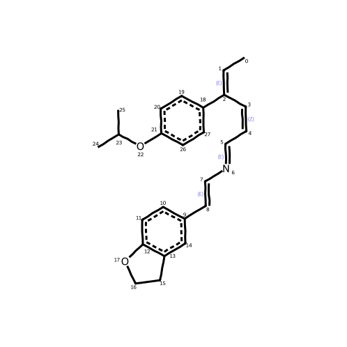 C\C=C(/C=C\C=N\C=C\c1ccc2c(c1)CCO2)c1ccc(OC(C)C)cc1